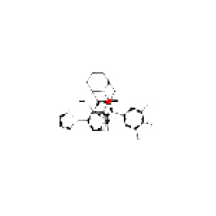 COc1c(C(=O)N2C3CCCC2c2nn(C)c(-c4cc(F)c(F)c(F)c4)c2C3)cncc1-n1cccn1